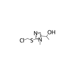 CC(O)c1cnc(SCCl)n1C